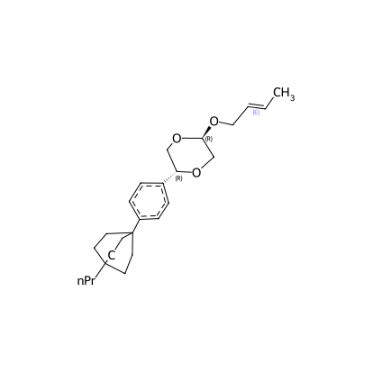 C/C=C/CO[C@H]1CO[C@H](c2ccc(C34CCC(CCC)(CC3)CC4)cc2)CO1